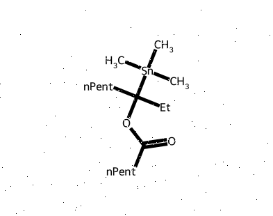 CCCCCC(=O)O[C](CC)(CCCCC)[Sn]([CH3])([CH3])[CH3]